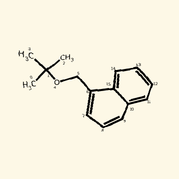 CC(C)(C)OCc1cccc2ccccc12